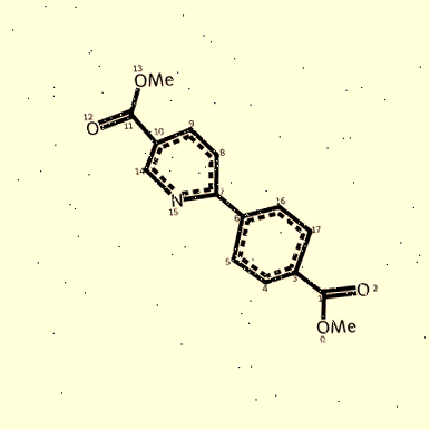 COC(=O)c1ccc(-c2ccc(C(=O)OC)cn2)cc1